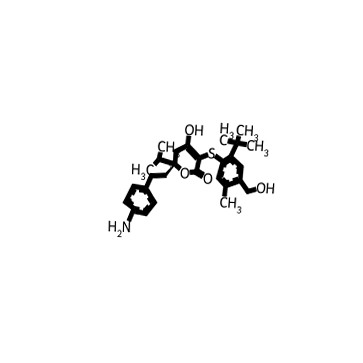 Cc1cc(SC2=C(O)C[C@@](CCc3ccc(N)cc3)(C(C)C)OC2=O)c(C(C)(C)C)cc1CO